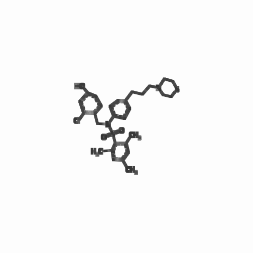 Cc1cc(C)c(S(=O)(=O)N(Cc2ccc(O)cc2Cl)c2ccc(CCCN3CCSCC3)cc2)c(C)c1